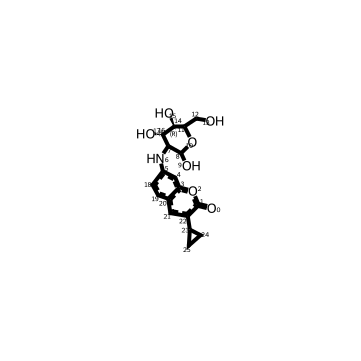 O=c1oc2cc(NC3C(O)OC(CO)[C@H](O)[C@H]3O)ccc2cc1C1CC1